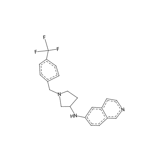 FC(F)(F)c1ccc(CN2CCC(Nc3ccc4cnccc4c3)C2)cc1